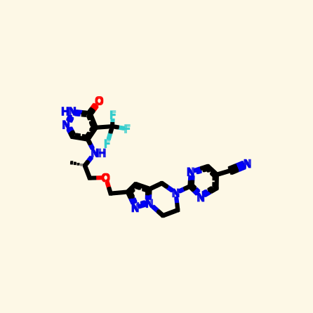 C[C@@H](COCc1cc2n(n1)CCN(c1ncc(C#N)cn1)C2)Nc1cn[nH]c(=O)c1C(F)(F)F